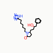 O=C1CCC(CCC(O)Cc2ccccc2)N1CCCCCCc1nnn[nH]1